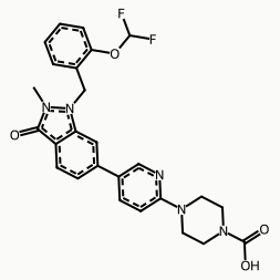 Cn1c(=O)c2ccc(-c3ccc(N4CCN(C(=O)O)CC4)nc3)cc2n1Cc1ccccc1OC(F)F